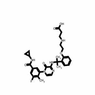 Cc1c(F)cc(C(=O)NC2CC2)cc1-n1ccnc(NC(C)(C)c2ccccc2OCCNCCC(=O)O)c1=O